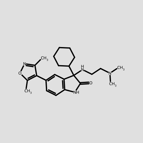 Cc1noc(C)c1-c1ccc2c(c1)C(NCCN(C)C)(C1CCCCC1)C(=O)N2